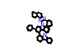 c1ccc(-c2cc3c4cccc5c6ccccc6n(c6cccc7c6c3c(c2)n7-c2nc3c(ccc6ccccc63)nc2-c2ccccc2)c45)cc1